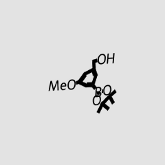 COc1cc(CO)cc(B2OC(C)(C)C(C)(C)O2)c1